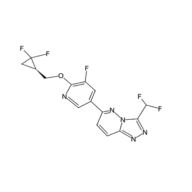 Fc1cc(-c2ccc3nnc(C(F)F)n3n2)cnc1OC[C@H]1CC1(F)F